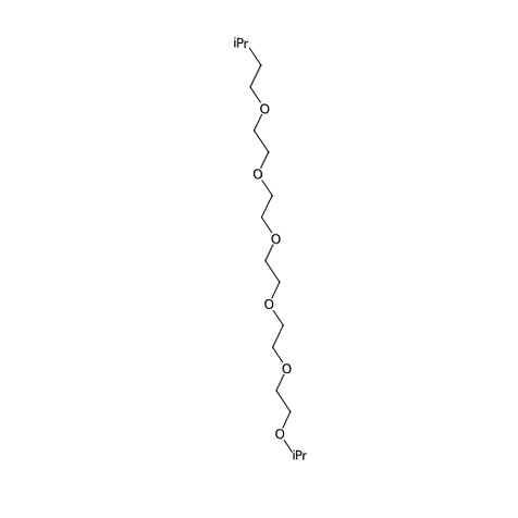 CC(C)CCOCCOCCOCCOCCOCCOC(C)C